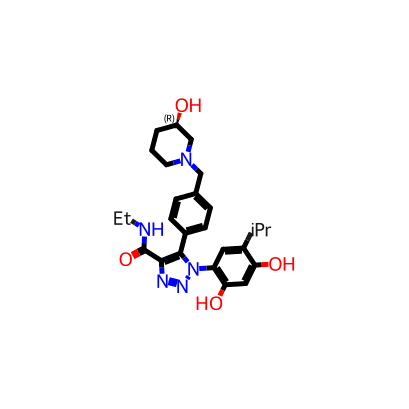 CCNC(=O)c1nnn(-c2cc(C(C)C)c(O)cc2O)c1-c1ccc(CN2CCC[C@@H](O)C2)cc1